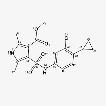 COC(=O)c1c(C)[nH]c(C)c1S(=O)(=O)Nc1ccc(C2CC2)c(Cl)c1